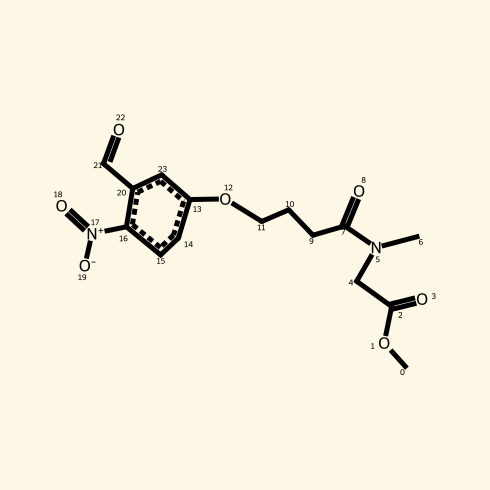 COC(=O)CN(C)C(=O)CCCOc1ccc([N+](=O)[O-])c(C=O)c1